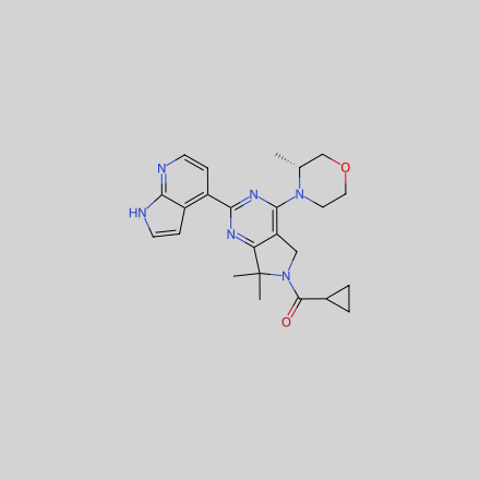 C[C@@H]1COCCN1c1nc(-c2ccnc3[nH]ccc23)nc2c1CN(C(=O)C1CC1)C2(C)C